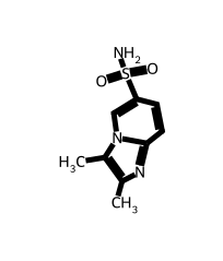 Cc1nc2ccc(S(N)(=O)=O)cn2c1C